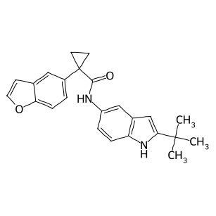 CC(C)(C)c1cc2cc(NC(=O)C3(c4ccc5occc5c4)CC3)ccc2[nH]1